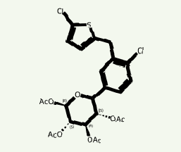 CC(=O)O[C@H]1OC(c2ccc(Cl)c(Cc3ccc(Cl)s3)c2)[C@H](OC(C)=O)[C@@H](OC(C)=O)[C@@H]1OC(C)=O